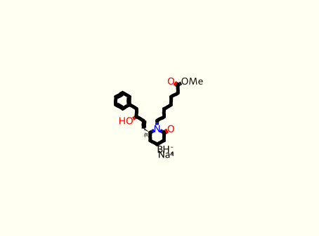 COC(=O)CCCCCCN1C(=O)CCC[C@@H]1C=CC(O)Cc1ccccc1.[BH4-].[Na+]